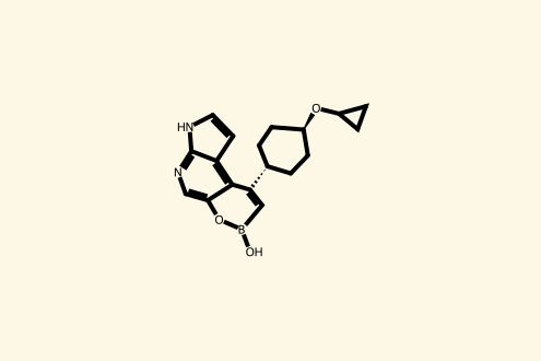 OB1C=C([C@H]2CC[C@H](OC3CC3)CC2)c2c(cnc3[nH]ccc23)O1